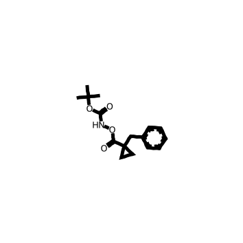 CC(C)(C)OC(=O)NOC(=O)C1(Cc2ccccc2)CC1